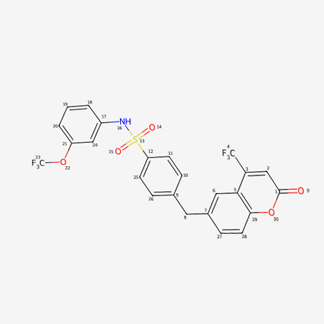 O=c1cc(C(F)(F)F)c2cc(Cc3ccc(S(=O)(=O)Nc4cccc(OC(F)(F)F)c4)cc3)ccc2o1